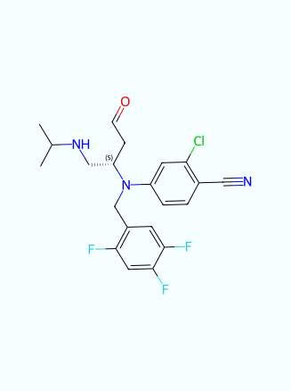 CC(C)NC[C@H](CC=O)N(Cc1cc(F)c(F)cc1F)c1ccc(C#N)c(Cl)c1